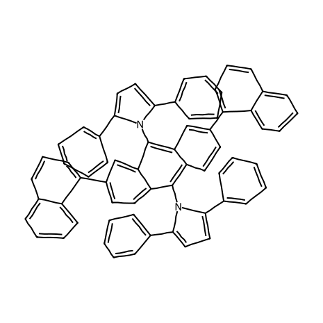 c1ccc(-c2ccc(-c3ccccc3)n2-c2c3ccc(-c4cccc5ccccc45)cc3c(-n3c(-c4ccccc4)ccc3-c3ccccc3)c3cc(-c4cccc5ccccc45)ccc23)cc1